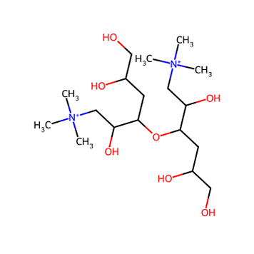 C[N+](C)(C)CC(O)C(CC(O)CO)OC(CC(O)CO)C(O)C[N+](C)(C)C